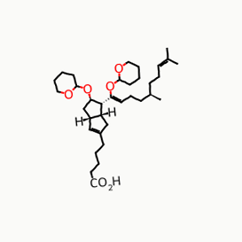 CC(C)=CCC[C@@H](C)CCC=C(OC1CCCCO1)[C@@H]1[C@@H]2CC(CCCCC(=O)O)=C[C@@H]2C[C@H]1OC1CCCCO1